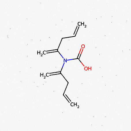 C=CCC(=C)N(C(=C)CC=C)C(=O)O